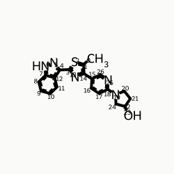 Cc1sc(-c2n[nH]c3ccccc23)nc1-c1ccc(N2CCC(O)C2)nc1